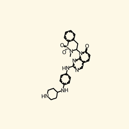 CN1C(n2c(=O)ccc3cnc(Nc4ccc(NC5CCNCC5)cc4)nc32)Cc2ccccc2S1(=O)=O